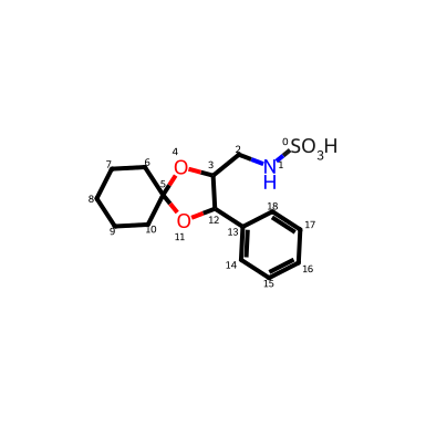 O=S(=O)(O)NCC1OC2(CCCCC2)OC1c1ccccc1